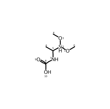 CO[SiH](OC)C(C)NC(=O)O